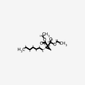 CCCCCCC[C@H]1CC1(C(=O)OCC)C(=O)OCC